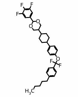 CCCCCc1ccc(C(F)(F)Oc2ccc(C3CCC(C4COC(c5cc(F)c(F)c(F)c5)OC4)CC3)cc2)cc1